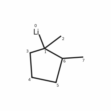 [Li][C]1(C)CCCC1C